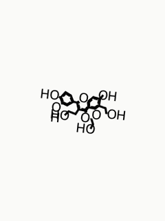 O=c1c(CCO)c(-c2ccc(O)c(O)c2)oc2cc(O)c(CCO)c(OCCO)c12